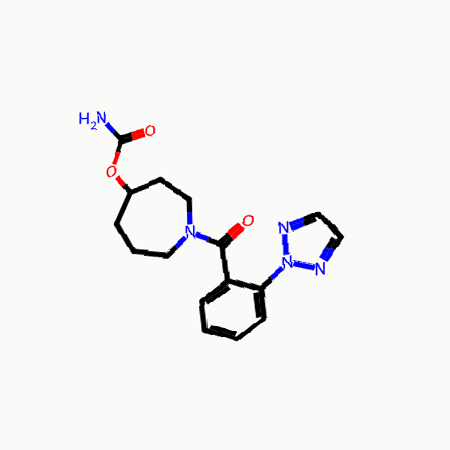 NC(=O)OC1CCCN(C(=O)c2ccccc2-n2nccn2)CC1